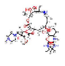 CCNC(=O)O[C@H]1[C@H](O[C@@H]2[C@@H](C)[C@H](O[C@H]3C[C@@](C)(OC)[C@](O)(CN4CCN(C)CC4)[C@H](C)O3)[C@@H](C)C(=O)O[C@H](CC)[C@@](C)(O)[C@H](O)[C@@H](C)NC[C@H](C)C[C@@]2(C)O)O[C@H](C)C[C@@H]1N(C)C(=O)NC(C)(C)C